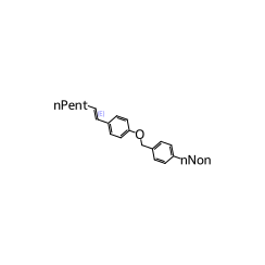 CCCCC/C=C/c1ccc(OCc2ccc(CCCCCCCCC)cc2)cc1